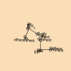 CCCCCC(CCCCC)CC(=O)OCCCCCCCCCC1(CCCCCCCCCOC(=O)CC(CCCCC)CCC(CC)C(CCC)CC(CCCCC)CC(=O)OCCCCCCCCCC2(CCCCCCCCCOC(=O)CC(CCCCC)CCCCC)OCC(CN(C)C(C)C)O2)OCC(CN(CC)CC)O1